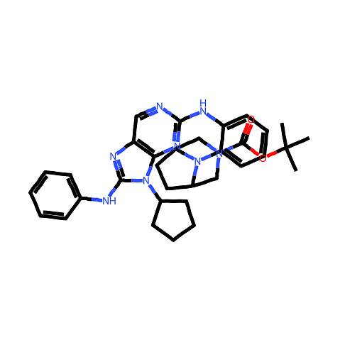 CC(C)(C)OC(=O)N1CC2CCC(C1)N2c1ccccc1Nc1ncc2nc(Nc3ccccc3)n(C3CCCC3)c2n1